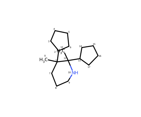 CC1(C2CCCC2)CCCNC1(C)C1CCCC1